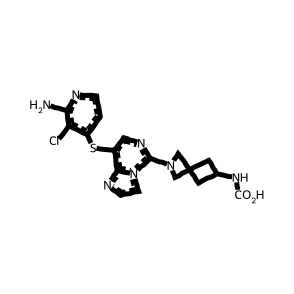 Nc1nccc(Sc2cnc(N3CC4(CC(NC(=O)O)C4)C3)n3ccnc23)c1Cl